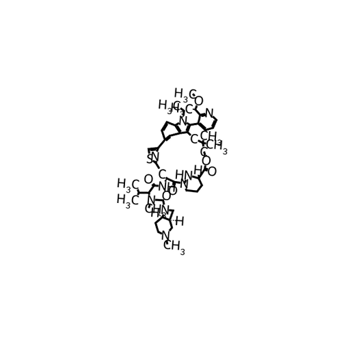 CCn1c(-c2cccnc2[C@H](C)OC)c2c3cc(ccc31)-c1csc(n1)C[C@H](NC(=O)C(C(C)C)N(C)C(=O)N1C[C@H]3CN(C)CC[C@H]31)C(=O)N1CCC[C@H](N1)C(=O)OCC(C)(C)C2